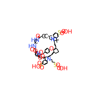 CC1(C)C2=[N+](CCCCCC(=O)NCCNC(=O)CCCCCC3(C)/C(=C/C=C4\CCCC(=C4Oc4ccc(C(=O)ON5C(=O)CCC5=O)cc4)/C=C/2)N(CCCSOOO)c2ccc(S(=O)(=O)O)cc23)c2ccc(SOOO)cc21